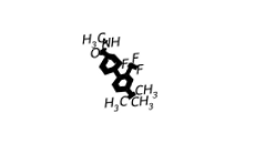 CNC(=O)c1ccc(-c2ccc(C(C)(C)C)cc2C(F)(F)F)cc1